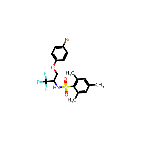 Cc1cc(C)c(S(=O)(=O)NC(COc2ccc(Br)cc2)C(F)(F)F)c(C)c1